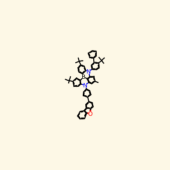 Cc1cc2c3c(c1)N(c1ccc(C(C)(C)C)c(-c4ccccc4)c1)c1cc(C(C)(C)C)ccc1B3c1cc(C(C)(C)C)ccc1N2c1ccc(-c2ccc3oc4ccccc4c3c2)cc1